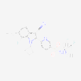 Cc1ccc2c(C#N)c(-c3ccc(S(=O)(=O)NC(C)(C)C(F)(F)F)cn3)n(C3CCC3)c2c1F